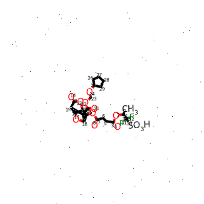 CC(OC(=O)CCC(=O)OC1C2OC(=O)C3C2OC1C3C(=O)OCOC1CCCC1)C(F)(F)S(=O)(=O)O